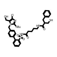 CCCCc1nc(Cl)c(CO)n1Cc1ccc(-c2ccccc2S(=O)(=O)NC(=O)CCCCNC(=O)C(CS)Cc2ccccc2)cc1